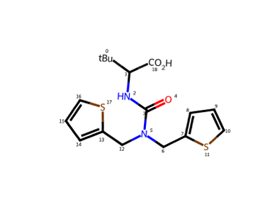 CC(C)(C)C(NC(=O)N(Cc1cccs1)Cc1cccs1)C(=O)O